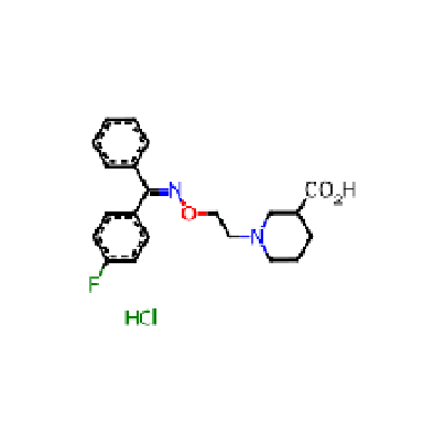 Cl.O=C(O)C1CCCN(CCON=C(c2ccccc2)c2ccc(F)cc2)C1